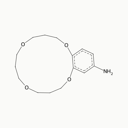 Nc1ccc2c(c1)OCCCOCCCOCCCO2